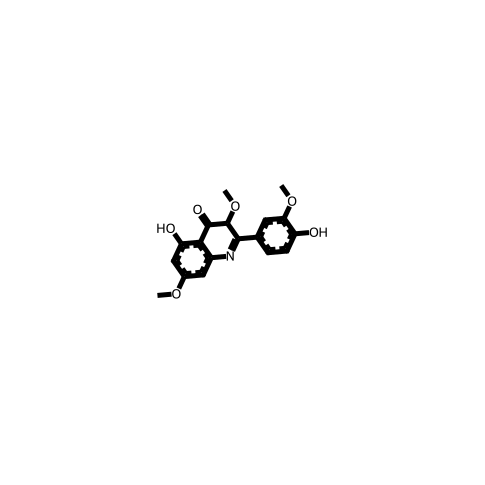 COc1cc(O)c2c(c1)N=C(c1ccc(O)c(OC)c1)C(OC)C2=O